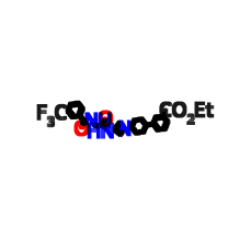 CCOC(=O)c1cccc(C2CCC(N3CC(NC(=O)CNC(=O)c4cccc(C(F)(F)F)c4)C3)CC2)c1